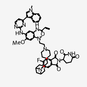 C=CC(=O)Nc1cc(Nc2nccc(-c3cn(C)c4ccccc34)n2)c(OC)cc1N(C)CCN1CCC(CN2CC3CC(C2)N3c2cc3c(cc2F)C(=O)N(C2CCC(=O)NC2=O)C3=O)CC1